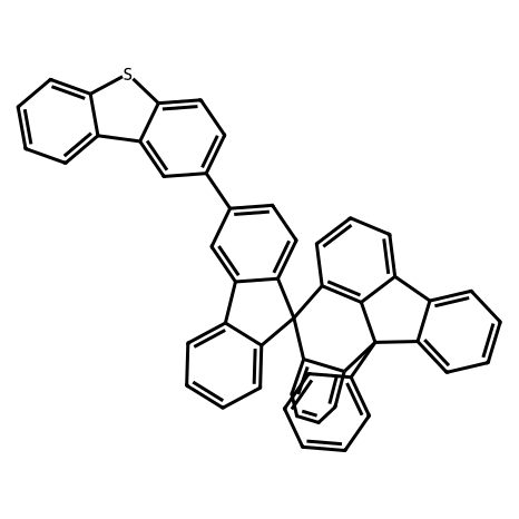 c1ccc(C23c4ccccc4-c4cccc(c42)C2(c4ccccc4-c4cc(-c5ccc6sc7ccccc7c6c5)ccc42)c2ccccc23)cc1